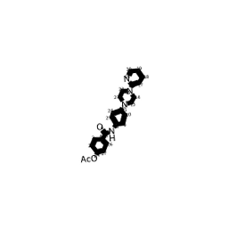 CC(=O)Oc1ccc(C(=O)Nc2ccc(N3CCN(c4ccccn4)CC3)cc2)cc1